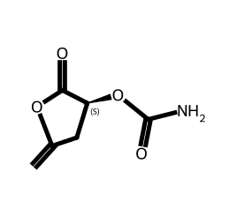 C=C1C[C@H](OC(N)=O)C(=O)O1